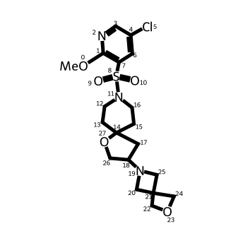 COc1ncc(Cl)cc1S(=O)(=O)N1CCC2(CC1)CC(N1CC3(COC3)C1)CO2